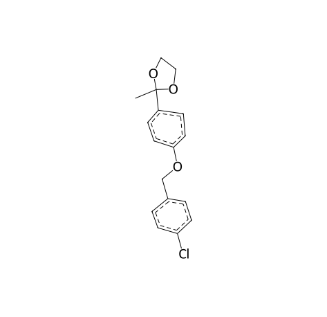 CC1(c2ccc(OCc3ccc(Cl)cc3)cc2)OCCO1